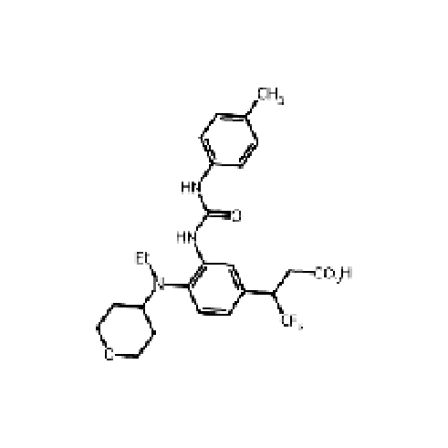 CCN(c1ccc(C(CC(=O)O)C(F)(F)F)cc1NC(=O)Nc1ccc(C)cc1)C1CCOCC1